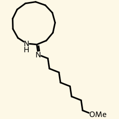 COCCCCCCCC/N=C1\CCCCCCCCCCCN1